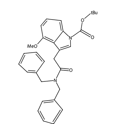 COc1cccc2c1c(CC(=O)N(Cc1ccccc1)Cc1ccccc1)cn2C(=O)OC(C)(C)C